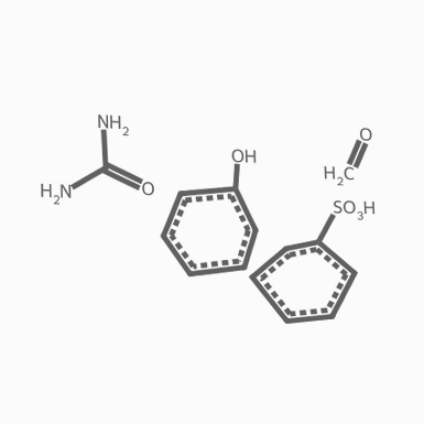 C=O.NC(N)=O.O=S(=O)(O)c1ccccc1.Oc1ccccc1